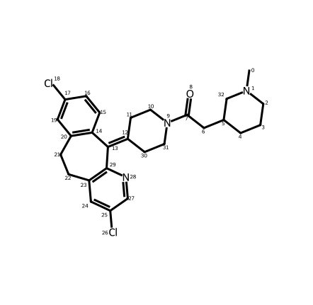 CN1CCCC(CC(=O)N2CCC(=C3c4ccc(Cl)cc4CCc4cc(Cl)cnc43)CC2)C1